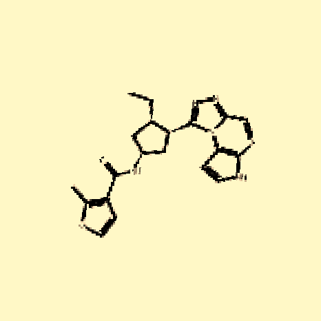 CC[C@@H]1C[C@H](NC(=O)c2ccoc2C)C[C@@H]1c1nnc2cnc3[nH]ccc3n12